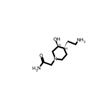 NCC[C@@H]1CCN(CC(N)=O)C[C@H]1O